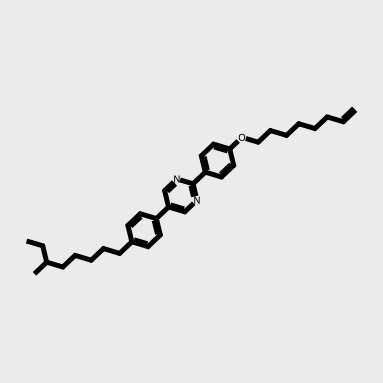 C=CCCCCCCOc1ccc(-c2ncc(-c3ccc(CCCCCC(C)CC)cc3)cn2)cc1